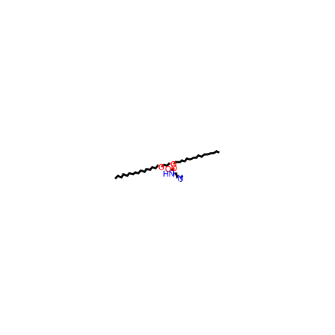 CCCCCCCCCCCCCCCCOCC(COCCCCCCCCCCCCCCCC)OC(=O)NCCN(C)C